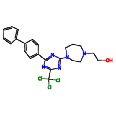 OCCN1CCCN(c2nc(-c3ccc(-c4ccccc4)cc3)nc(C(Cl)(Cl)Cl)n2)CC1